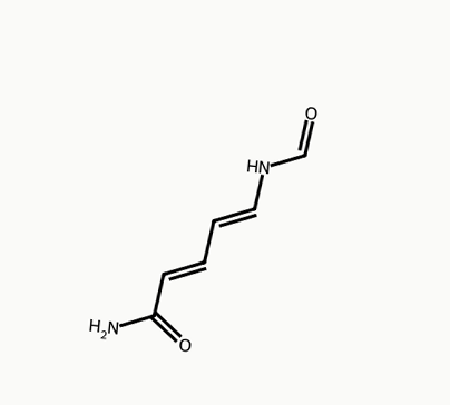 NC(=O)/C=C/C=C/NC=O